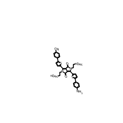 CCCCCCCCCCCCN1C(=O)C2=C(c3ccc(-c4ccc(C#N)cc4)s3)N(CCCCCCCCCCCC)C(=O)C2=C1c1ccc(-c2ccc(N)cc2)s1